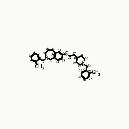 Cc1ccccc1CN1CCCc2cc(OCCC3CCN(Cc4ccccc4C(F)(F)F)CC3)ccc2C1